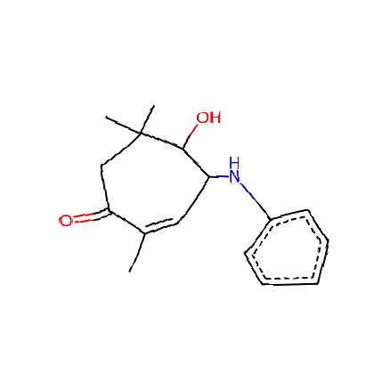 CC1=CC(Nc2ccccc2)C(O)C(C)(C)CC1=O